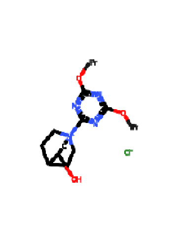 CC(C)Oc1nc(OC(C)C)nc([N+]23CCC(CC2)C(O)C3)n1.[Cl-]